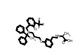 C[C@H](NCCc1cccc(OCCCN(Cc2cccc(C(F)(F)F)c2Cl)C(C)(c2ccccc2)c2ccccc2)c1)C(=O)O